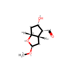 CO[C@@H]1C[C@H]2[C@@H](C=O)[C@@H](O)C[C@H]2O1